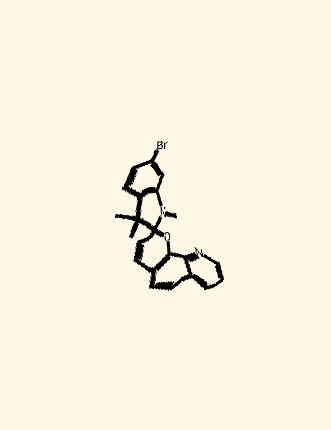 CN1c2cc(Br)ccc2C(C)(C)C12C=Cc1ccc3cccnc3c1O2